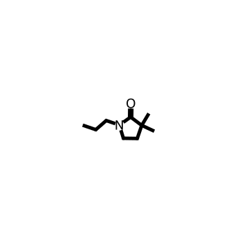 CCCN1CCC(C)(C)C1=O